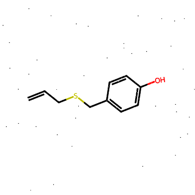 C=CCSCc1ccc(O)cc1